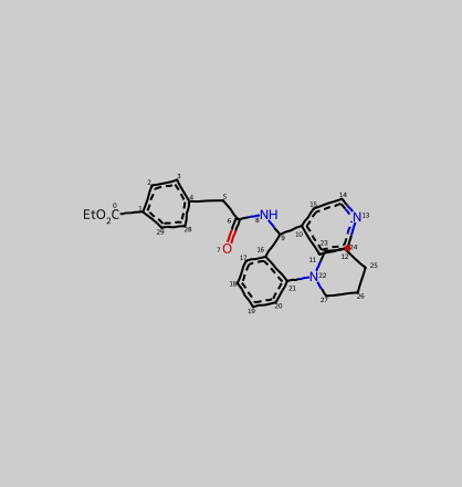 CCOC(=O)c1ccc(CC(=O)NC(c2ccncc2)c2ccccc2N2CCCCC2)cc1